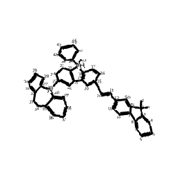 CC1(C)c2ccccc2-c2ccc(/C=C/c3ccc4c(c3)C3=C(CCC(N5c6ccccc6CCc6ccccc65)=C3)[PH]4(C)c3ccccc3)cc21